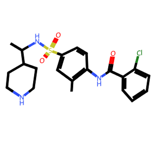 Cc1cc(S(=O)(=O)NC(C)C2CCNCC2)ccc1NC(=O)c1ccccc1Cl